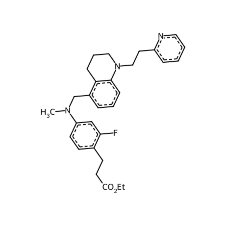 CCOC(=O)CCc1ccc(N(C)Cc2cccc3c2CCCN3CCc2ccccn2)cc1F